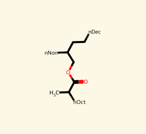 CCCCCCCCCCCCC(CCCCCCCCC)COC(=O)C(C)CCCCCCCC